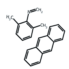 C=Nc1c(C)cccc1C.c1ccc2cc3ccccc3cc2c1